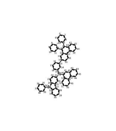 c1ccc(-c2c(-c3ccccc3)c3cc(-c4cccc(N(c5ccc6c(c5)c5ccccc5n6-c5ccccc5)c5cc6ccccc6c6ccccc56)c4)ccc3c3ccccc23)cc1